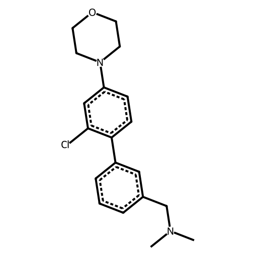 CN(C)Cc1cccc(-c2ccc(N3CCOCC3)cc2Cl)c1